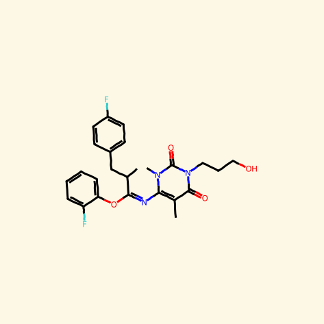 Cc1c(/N=C(/Oc2ccccc2F)C(C)Cc2ccc(F)cc2)n(C)c(=O)n(CCCO)c1=O